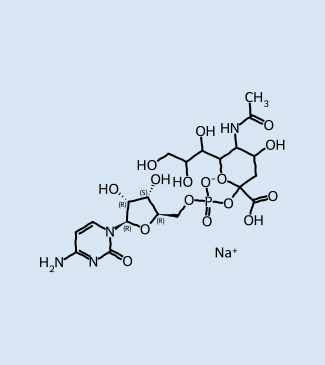 CC(=O)NC1C(O)CC(OP(=O)([O-])OC[C@H]2O[C@@H](n3ccc(N)nc3=O)[C@H](O)[C@@H]2O)(C(=O)O)OC1C(O)C(O)CO.[Na+]